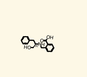 O=C(O)c1ccccc1CN[C@@H](CO)Cc1ccccc1